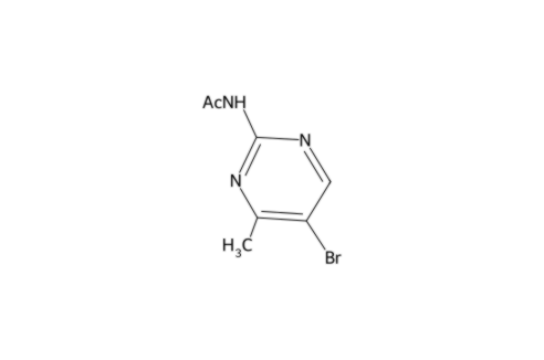 CC(=O)Nc1ncc(Br)c(C)n1